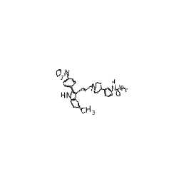 Cc1ccc2[nH]c(-c3ccc([N+](=O)[O-])cc3)c(CCCN3CCC(c4cccc(NC(=O)C(C)C)c4)CC3)c2c1